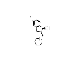 COc1ccc2c(c1)CC(CN1CCCCC1)C2=O.Cl